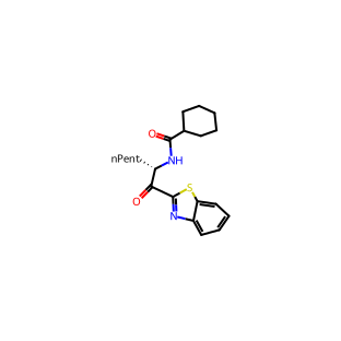 CCCCC[C@H](NC(=O)C1CCCCC1)C(=O)c1nc2ccccc2s1